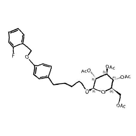 CC(=O)OC[C@H]1O[C@@H](OCCCCc2ccc(OCc3ccccc3F)cc2)[C@H](OC(C)=O)[C@@H](OC(C)=O)[C@@H]1OC(C)=O